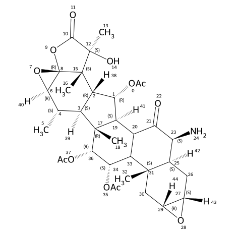 CC(=O)O[C@H]1[C@@H]2[C@H]([C@H](C)[C@H]3O[C@]34OC(=O)[C@@](C)(O)[C@]24C)[C@]2(C)[C@@H]1C1C(=O)[C@@H](N)[C@H]3C[C@@H]4O[C@@H]4C[C@]3(C)C1[C@H](OC(C)=O)[C@@H]2OC(C)=O